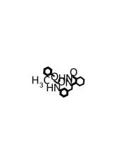 Cc1ccccc1OCC(=O)Nc1cccc(Cc2n[nH]c(=O)c3c2CCCC3)c1